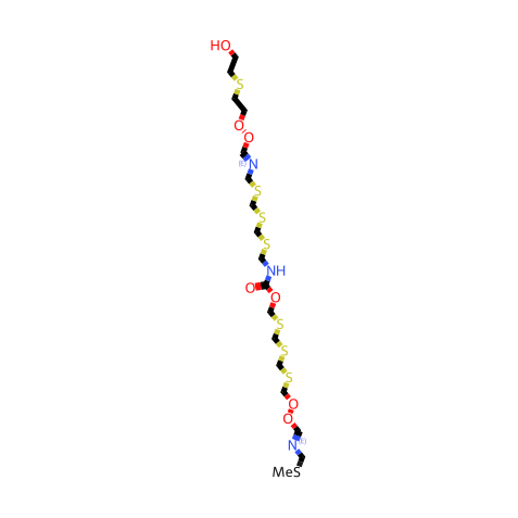 CSC/N=C/OOCSCSCSCOC(=O)NCSCSCSC/N=C/OOCCSCCO